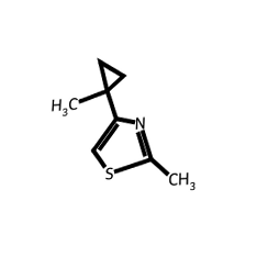 Cc1nc(C2(C)CC2)cs1